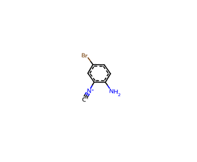 [C-]#[N+]c1cc(Br)ccc1N